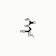 CCCC(=O)NC[C@H](C)O